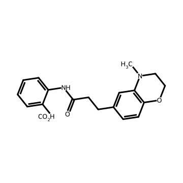 CN1CCOc2ccc(CCC(=O)Nc3ccccc3C(=O)O)cc21